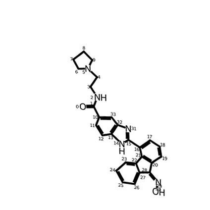 O=C(NCCN1CCCC1)c1ccc2[nH]c(-c3cccc4c3-c3ccccc3C4=NO)nc2c1